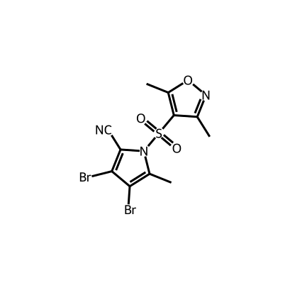 Cc1noc(C)c1S(=O)(=O)n1c(C)c(Br)c(Br)c1C#N